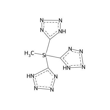 C[Si](c1nnn[nH]1)(c1nnn[nH]1)c1nnn[nH]1